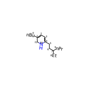 CCCCC1=CC=C(CCC(CC)CCC)NC1